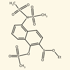 CCOS(=O)c1ccc2c(N(S(C)(=O)=O)S(C)(=O)=O)cccc2c1OS(C)(=O)=O